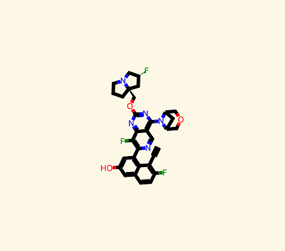 C#Cc1c(F)ccc2cc(O)cc(-c3ncc4c(N5C6COCC5C6)nc(OC[C@@]56CCCN5C[C@H](F)C6)nc4c3F)c12